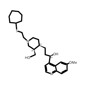 COc1ccc2nccc([C@H](O)CC[C@@H]3CCN(CCSC4CCCCCC4)C[C@@H]3CO)c2c1